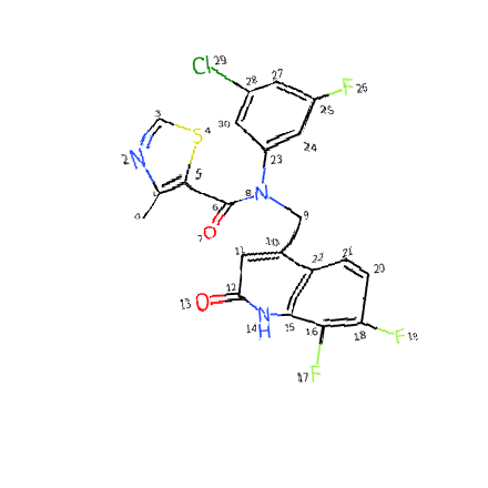 Cc1ncsc1C(=O)N(Cc1cc(=O)[nH]c2c(F)c(F)ccc12)c1cc(F)cc(Cl)c1